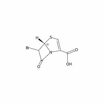 O=C(O)C1=CS[C@H]2C(Br)C(=O)N12